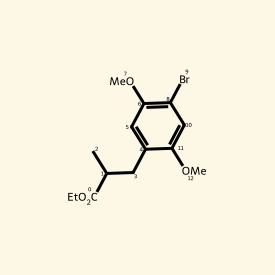 CCOC(=O)C(C)Cc1cc(OC)c(Br)cc1OC